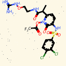 CC(C(=O)NCCONC(=N)N)c1ccc(NS(=O)(=O)c2ccc(Cl)c(Cl)c2)c(=O)n1OC(=O)C(F)(F)F